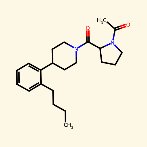 CCCCc1ccccc1C1CCN(C(=O)C2CCCN2C(C)=O)CC1